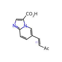 CC(=O)/C=C/c1ccc2ncc(C(=O)O)n2c1